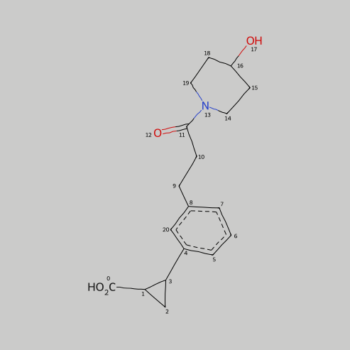 O=C(O)C1CC1c1cccc(CCC(=O)N2CCC(O)CC2)c1